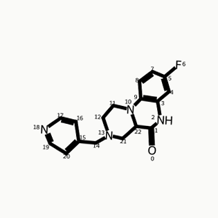 O=C1Nc2cc(F)ccc2N2CCN(Cc3ccncc3)CC12